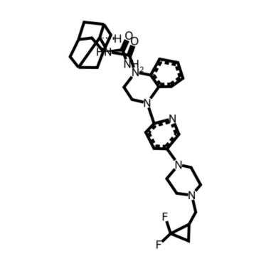 NC(=O)[C@]12CC3CC(C1)[C@H](NC(=O)N1CCN(c4ccc(N5CCN(CC6CC6(F)F)CC5)cn4)c4ccccc41)C(C3)C2